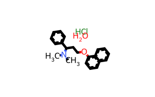 CN(C)C(CCOc1cccc2ccccc12)c1ccccc1.Cl.O